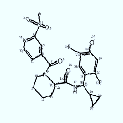 CS(=O)(=O)c1cc(C(=O)N2CCCC[C@@H]2C(=O)N[C@@H](c2cc(F)c(Cl)cc2F)C2CC2)ccn1